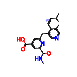 CNC(=O)c1cc(C(=O)O)cc(Cc2cncc(C)c2/C=C\C(C)C)n1